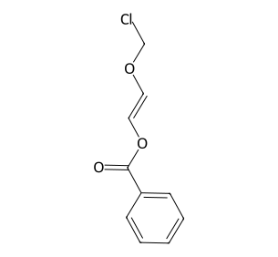 O=C(OC=COCCl)c1ccccc1